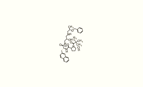 C[C@H](CNCC(O)CNC(=O)[C@@H](Cc1ccc2ccccc2c1)NC(=O)C1CCCN1C(=O)C(C)(C)C)OCc1ccccc1.Cl